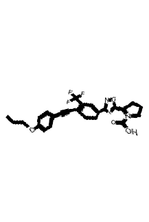 CCCOc1ccc(C#Cc2ccc(-c3noc(C4CCCN4C(=O)O)n3)cc2C(F)(F)F)cc1